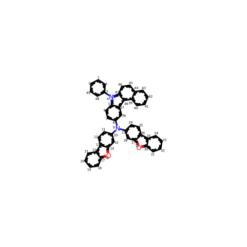 c1ccc(-n2c3ccc(N(c4ccc5c(c4)oc4ccccc45)c4ccc5c(c4)oc4ccccc45)cc3c3c4ccccc4ccc32)cc1